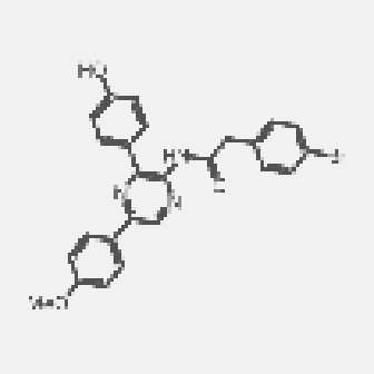 COc1ccc(-c2cnc(NC(=O)Cc3ccc(Br)cc3)c(-c3ccc(O)cc3)n2)cc1